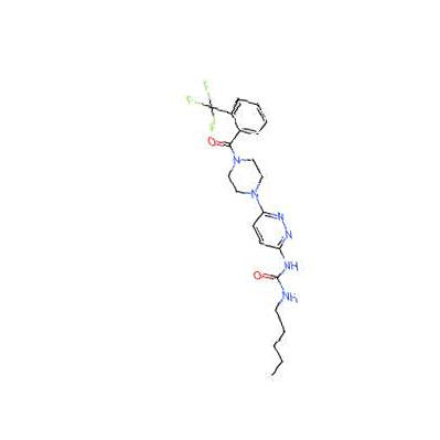 CCCCCNC(=O)Nc1ccc(N2CCN(C(=O)c3ccccc3C(F)(F)F)CC2)nn1